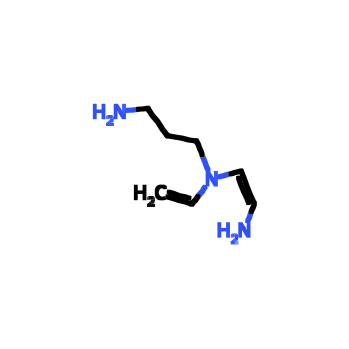 C=CN(/C=C\N)CCCN